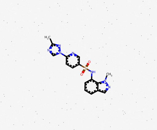 Cc1ncn(-c2ccc(S(=O)(=O)Nc3cccc4cnn(C)c34)cn2)n1